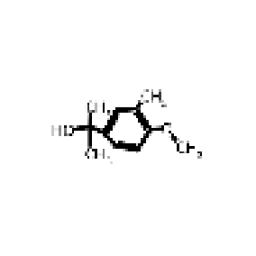 COc1ccc(C(C)(C)O)cc1C